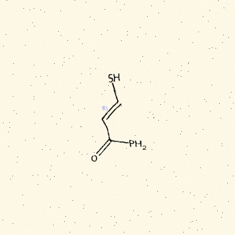 O=C(P)/C=C/S